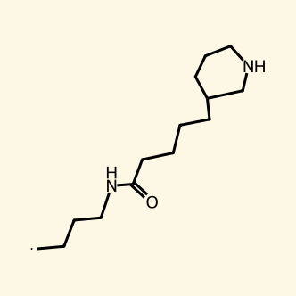 [CH2]CCCNC(=O)CCCCC1CCCNC1